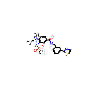 CN(C)c1ccc(C(=O)NCc2cccc(-c3nccs3)c2)cc1NS(C)(=O)=O